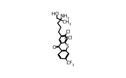 CC(N)(CO)CCCc1cc2c(=O)c3ccc(C(F)(F)F)cc3sc2cc1Cl.Cl